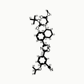 COC(=O)CN(C(=O)OC(C)(C)C)[C@@H]1CCCc2c(-c3noc(-c4ccc(OC(C)C)c(C#N)c4)n3)cccc21